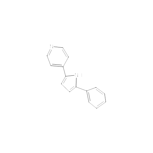 c1ccc(-c2ccc(-c3ccncc3)[nH]2)cc1